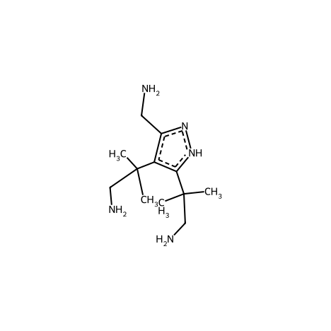 CC(C)(CN)c1[nH]nc(CN)c1C(C)(C)CN